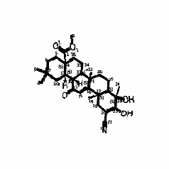 COC(=O)[C@]12CCC(C)(C)C[C@H]1[C@H]1C(=O)C=C3[C@@]4(C)CC(C#N)=C(O)[C@@](C)(O)C4CC[C@@]3(C)[C@]1(C)CC2